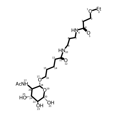 CCOCCC(=O)NCCCNC(=O)CCCCO[C@@H]1O[C@H](O)[C@H](O)[C@H](O)C1NC(C)=O